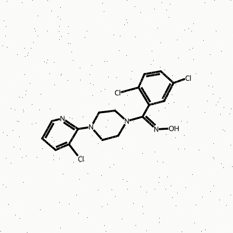 O/N=C(\c1cc(Cl)ccc1Cl)N1CCN(c2ncccc2Cl)CC1